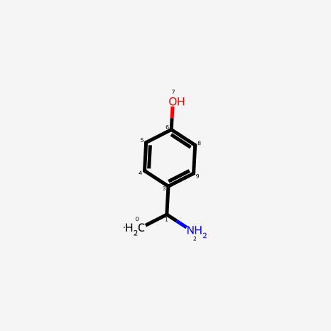 [CH2]C(N)c1ccc(O)cc1